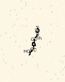 CCC(O)COC(=O)c1ccc(C(=O)OCC(O)COC(=O)/C=C\C(=O)OC)cc1